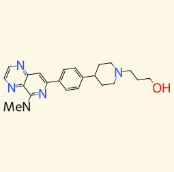 CNc1nc(-c2ccc(C3CCN(CCCO)CC3)cc2)cc2nccnc12